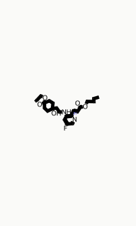 CCCCOC(=O)/C=C/c1ncc(F)cc1NCCC1(O)CCC2(CC1)OCCO2